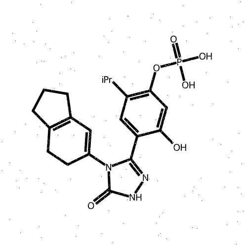 CC(C)c1cc(-c2n[nH]c(=O)n2C2=CC3=C(CCC3)CC2)c(O)cc1OP(=O)(O)O